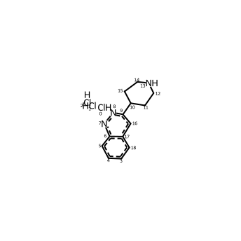 Cl.Cl.Cl.c1ccc2nnc(C3CCNCC3)cc2c1